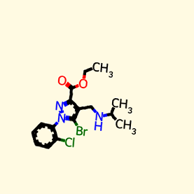 CCOC(=O)c1nn(-c2ccccc2Cl)c(Br)c1CNC(C)C